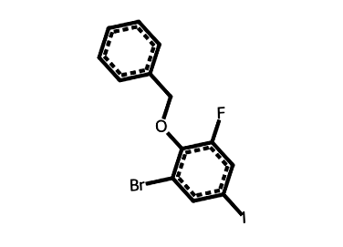 Fc1cc(I)cc(Br)c1OCc1ccccc1